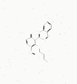 CCCCOC1=C([N+](=O)[O-])C=CC(=O)C1c1ncc2ccccc2n1